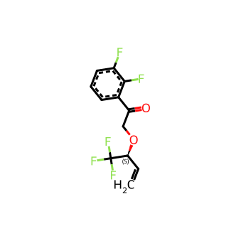 C=C[C@H](OCC(=O)c1cccc(F)c1F)C(F)(F)F